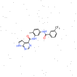 Cc1ccc(NC(=O)c2cccc(C(F)(F)F)c2)cc1NC(=O)c1ncnc2[nH]ccc12